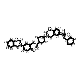 Oc1ccccc1CNc1ccc2c(c1)CN(C1CCC(N3COc4ccc(N5COc6ccccc6C5)cc4C3)CC1)CO2